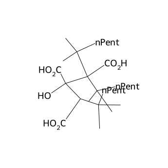 CCCCCC(C)(C)C(C(=O)O)C(O)(C(=O)O)C(C(=O)O)(C(C)(C)CCCCC)C(C)(C)CCCCC